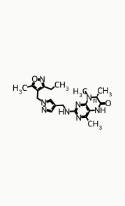 CCc1noc(C)c1Cn1cc(CNc2nc(C)c3c(n2)N(C)[C@@H](C)C(=O)N3)cn1